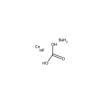 F.O=C(O)O.[BaH2].[Ce]